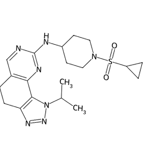 CC(C)n1nnc2c1-c1nc(NC3CCN(S(=O)(=O)C4CC4)CC3)ncc1CC2